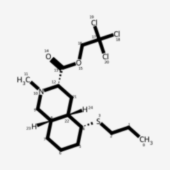 CCCS[C@@H]1CCC[C@@H]2CN(C)[C@H](C(=O)OCC(Cl)(Cl)Cl)C[C@@H]21